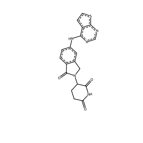 O=C1CCC(N2Cc3cc(Nc4ncnc5sccc45)ccc3C2=O)C(=O)N1